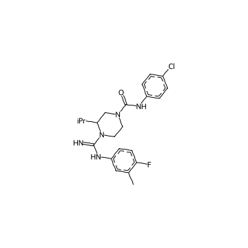 Cc1cc(NC(=N)N2CCN(C(=O)Nc3ccc(Cl)cc3)CC2C(C)C)ccc1F